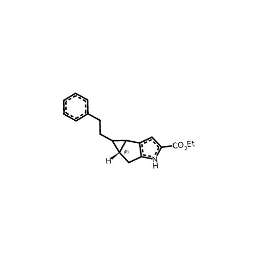 CCOC(=O)c1cc2c([nH]1)C[C@@H]1C(CCc3ccccc3)C21